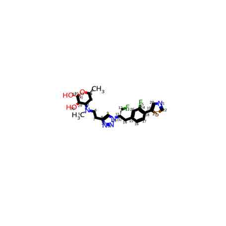 C[C@@H]1CC(N(C)CCc2cn([C@H](CF)Cc3ccc(-c4cncs4)c(F)c3)nn2)C(O)[C@H](O)O1